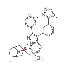 CCOC(=O)N1C2CCC1CC(c1ccnc3c(-c4cccc(-c5nnco5)c4)c(-c4ccncc4)nn13)C2